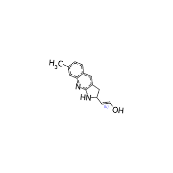 Cc1ccc2cc3c(nc2c1)NC(/C=C/O)C3